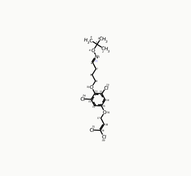 CC(C)(C)O/N=C/CCCOc1c(Cl)cc(OCC=C(Cl)Cl)cc1Cl